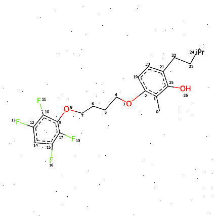 Cc1c(OCCCCOc2c(F)c(F)cc(F)c2F)ccc(CCC(C)C)c1O